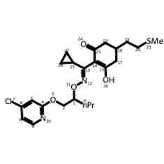 CCCC(COc1cc(Cl)ccn1)ON=C(C1=C(O)CC(CCSC)CC1=O)C1CC1